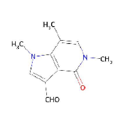 Cc1cn(C)c(=O)c2c(C=O)cn(C)c12